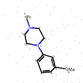 CC[CH]N1CCN(c2cccc(OC)c2)CC1